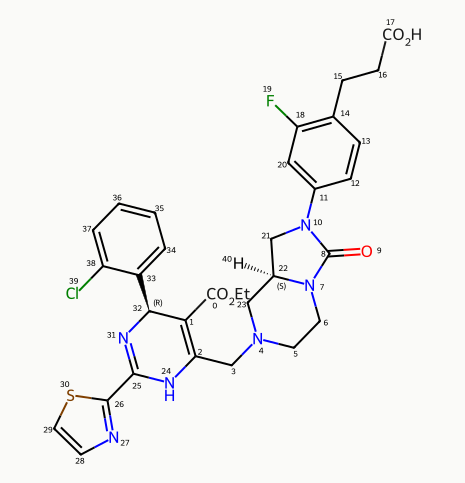 CCOC(=O)C1=C(CN2CCN3C(=O)N(c4ccc(CCC(=O)O)c(F)c4)C[C@@H]3C2)NC(c2nccs2)=N[C@H]1c1ccccc1Cl